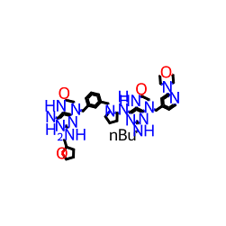 CCCCNc1nc(NC2CCCN2Cc2cccc(CN3CC(=O)Nc4c(N)nc(NCC5CCCO5)nc43)c2)c2c(n1)N(Cc1ccnc(N3CCOCC3)c1)CC(=O)N2